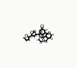 O=C(c1cc(-c2ccco2)on1)N1CCN2Cc3ccncc3C21c1ccc(Cl)cc1